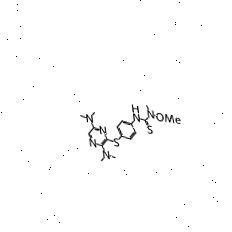 CON(C)C(=S)Nc1ccc(Sc2nc(N(C)C)cnc2N(C)C)cc1